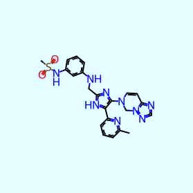 Cc1cccc(-c2[nH]c(CNc3cccc(NS(C)(=O)=O)c3)nc2N2C=Cc3ncnn3C2)n1